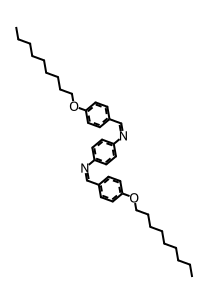 CCCCCCCCCOc1ccc(/C=N\c2ccc(/N=C\c3ccc(OCCCCCCCCC)cc3)cc2)cc1